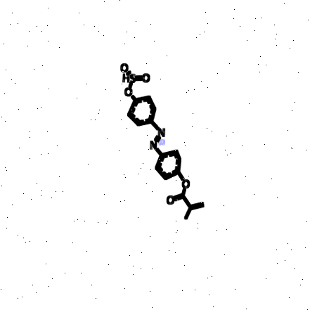 C=C(C)C(=O)Oc1ccc(/N=N/c2ccc(O[SH](=O)=O)cc2)cc1